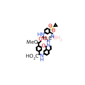 BN(C)Cc1cc(NC(=O)OC[C@H](OC)c2ccc(C(Nc3ccc4cc[nH]c(=O)c4c3)C(=O)O)cc2)ccc1S(=O)(=O)C1CC1